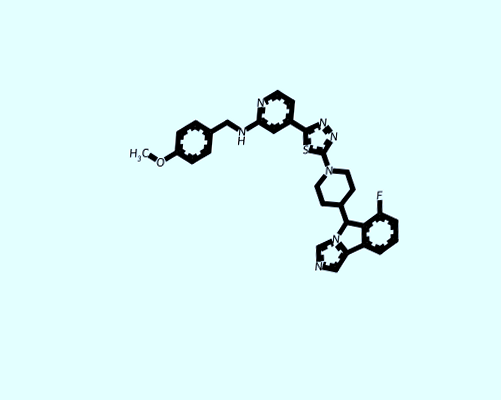 COc1ccc(CNc2cc(-c3nnc(N4CCC(C5c6c(F)cccc6-c6cncn65)CC4)s3)ccn2)cc1